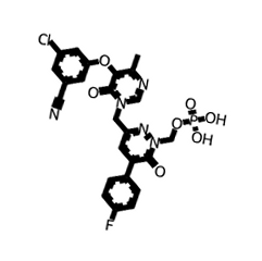 Cc1ncn(Cc2cc(-c3ccc(F)cc3)c(=O)n(COP(=O)(O)O)n2)c(=O)c1Oc1cc(Cl)cc(C#N)c1